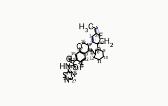 C=C(/C=C\C(F)=C/C)[C@H]1CCCCN1[C@H]1CCOc2cc(S(=O)(=O)Nc3ncns3)c(F)cc21